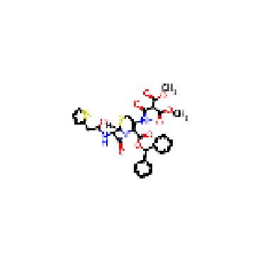 COC(=O)C(C(=O)NC1=C(C(=O)OC(c2ccccc2)c2ccccc2)N2C(=O)C(NC(=O)Cc3cccs3)[C@H]2SC1)C(=O)OC